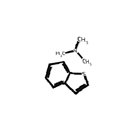 CN(C)C.c1ccc2sccc2c1